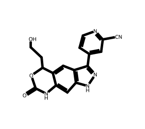 N#Cc1cc(-c2n[nH]c3cc4c(cc23)C(CCO)OC(=O)N4)ccn1